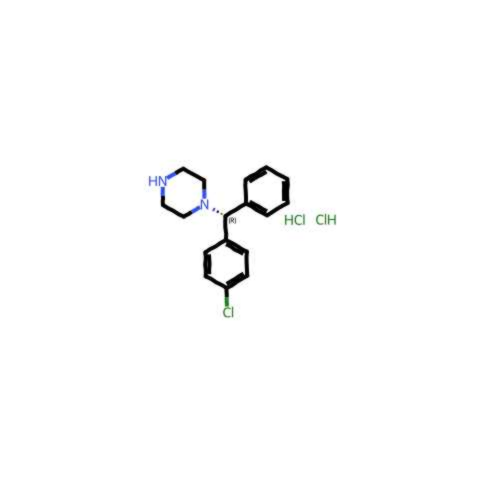 Cl.Cl.Clc1ccc([C@@H](c2ccccc2)N2CCNCC2)cc1